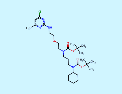 Cc1cc(Cl)nc(NCCOCCN(CCCN(C(=O)OC(C)(C)C)C2CCCCC2)C(=O)OC(C)(C)C)n1